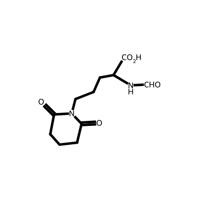 O=CNC(CCCN1C(=O)CCCC1=O)C(=O)O